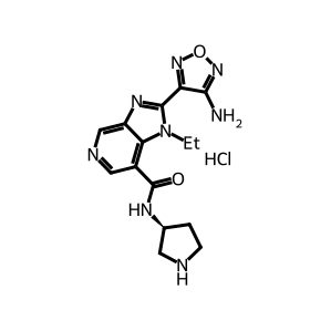 CCn1c(-c2nonc2N)nc2cncc(C(=O)N[C@H]3CCNC3)c21.Cl